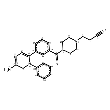 N#CCCN1CCN(C(=O)c2cccc(C3=CN=C(N)CN3c3ccccc3)c2)CC1